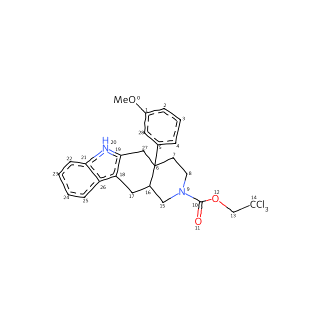 COc1cccc(C23CCN(C(=O)OCC(Cl)(Cl)Cl)CC2Cc2c([nH]c4ccccc24)C3)c1